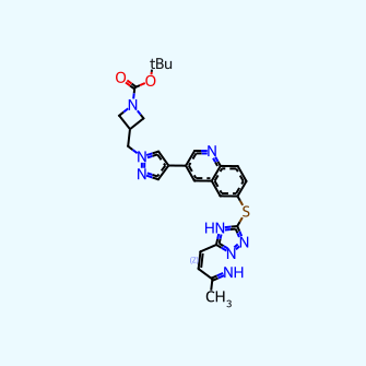 CC(=N)/C=C\c1nnc(Sc2ccc3ncc(-c4cnn(CC5CN(C(=O)OC(C)(C)C)C5)c4)cc3c2)[nH]1